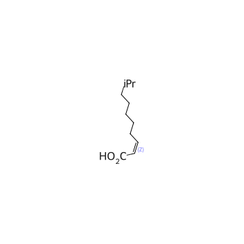 CC(C)CCCCC/C=C\C(=O)O